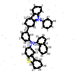 c1ccc(-n2c3ccccc3c3ccc(-c4cccc(N(c5ccc6sc7ccccc7c6c5)c5cccc6ccccc56)c4)cc32)cc1